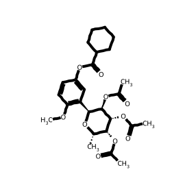 COc1ccc(OC(=O)C2CCCCC2)cc1[C@@H]1O[C@@H](C)[C@@H](OC(C)=O)[C@@H](OC(C)=O)[C@@H]1OC(C)=O